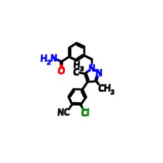 Cc1nn(Cc2cccc(C(N)=O)c2)c(C)c1-c1ccc(C#N)c(Cl)c1